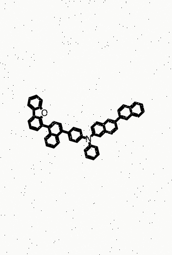 c1ccc(N(c2ccc(-c3ccc(-c4cccc5c4oc4ccccc45)c4ccccc34)cc2)c2ccc3cc(-c4ccc5ccccc5c4)ccc3c2)cc1